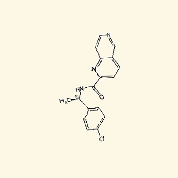 C[C@@H](NC(=O)c1ccc2cnccc2n1)c1ccc(Cl)cc1